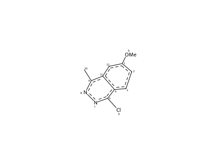 COc1ccc2c(Cl)nnc(C)c2c1